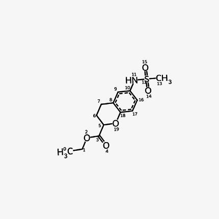 CCOC(=O)C1CCc2cc(NS(C)(=O)=O)ccc2O1